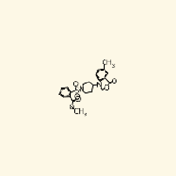 COC(=O)c1ccccc1S(=O)(=O)N1CCC(N2COC(=O)c3cc(C)ccc32)CC1